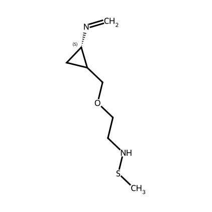 C=N[C@H]1CC1COCCNSC